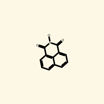 O=C1c2cccc3cccc(c23)C(=O)N1Cl